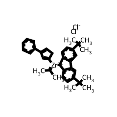 C[C](C)=[Zr+2]([C]1=CC(c2ccccc2)=CC1)[CH]1c2ccc(C(C)(C)C)cc2-c2cc(C(C)(C)C)ccc21.[Cl-].[Cl-]